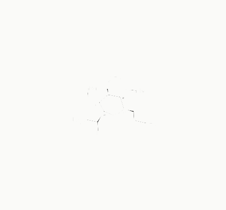 CCCCOC[C@H]1O[C@@H](C(F)C(=O)O)[C@H](OCCCC)[C@@H](OCCCC)[C@@H]1OCCCC